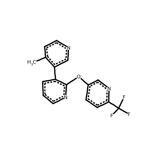 Cc1ccncc1-c1cccnc1Oc1ccc(C(F)(F)F)nc1